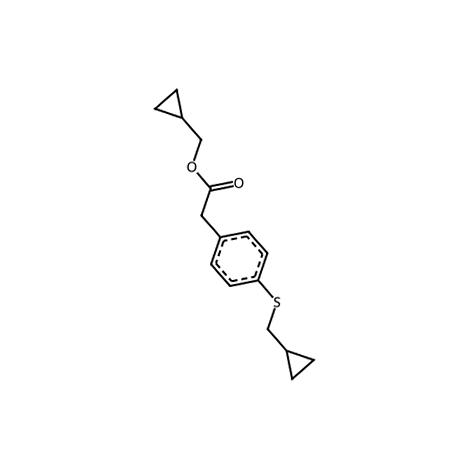 O=C(Cc1ccc(SCC2CC2)cc1)OCC1CC1